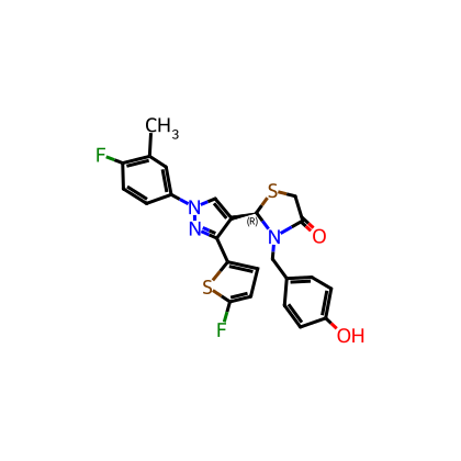 Cc1cc(-n2cc([C@H]3SCC(=O)N3Cc3ccc(O)cc3)c(-c3ccc(F)s3)n2)ccc1F